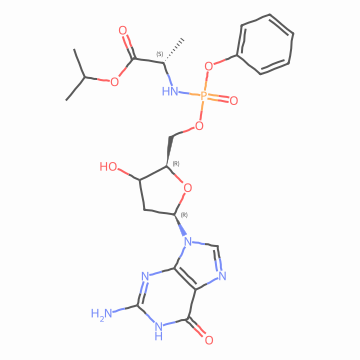 CC(C)OC(=O)[C@H](C)NP(=O)(OC[C@H]1O[C@@H](n2cnc3c(=O)[nH]c(N)nc32)CC1O)Oc1ccccc1